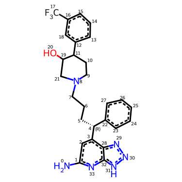 Nc1cc([C@H](CCCN2CCC(c3cccc(C(F)(F)F)c3)C(O)C2)c2ccccc2)c2nn[nH]c2n1